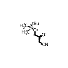 CC(C)(C)[Si](C)(C)OCC(=O)CC#N